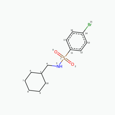 O=S(=O)(NCC1CCCCC1)c1ccc(Br)cc1